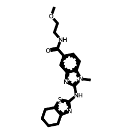 COCCNC(=O)c1ccc2c(c1)nc(Nc1nc3c(s1)CCCC3)n2C